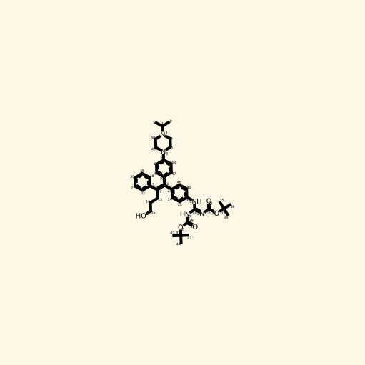 CC(C)N1CCN(c2ccc(/C(=C(/CCCO)c3ccccc3)c3ccc(N/C(=N\C(=O)OC(C)(C)C)NC(=O)OC(C)(C)C)cc3)cc2)CC1